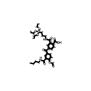 CCCCNC(=O)c1cc(C(=O)c2ccc(C(=O)O)c(C(=O)NCCC[Si](OCC)(OCC)OCC)c2)ccc1OC=O